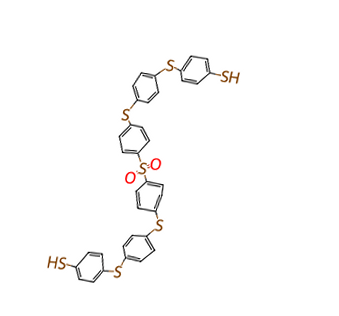 O=S(=O)(c1ccc(Sc2ccc(Sc3ccc(S)cc3)cc2)cc1)c1ccc(Sc2ccc(Sc3ccc(S)cc3)cc2)cc1